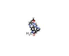 Cn1c(=O)ccc2ccc(CN3CCC(CC4CC4)(C(=O)N4CCN(c5cc(C(F)(F)F)ccn5)CC4)C3)cc21